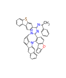 C=C(/N=C(\N=C1/Nc2ccc3c4cc5ccccc5cc4n(c3c2)-c2c1ccc1oc3ccccc3c21)c1ccc2c(c1)sc1ccccc12)c1ccccc1